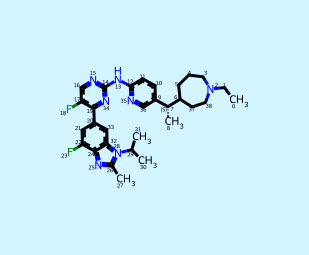 CCN1CCCC([C@H](C)c2ccc(Nc3ncc(F)c(-c4cc(F)c5nc(C)n(C(C)C)c5c4)n3)nc2)CC1